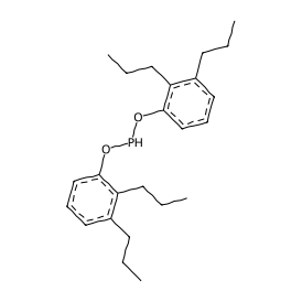 CCCc1cccc(OPOc2cccc(CCC)c2CCC)c1CCC